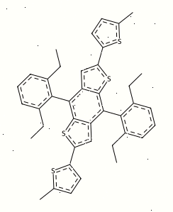 CCc1cccc(CC)c1-c1c2cc(-c3ccc(C)s3)sc2c(-c2c(CC)cccc2CC)c2cc(-c3ccc(C)s3)sc12